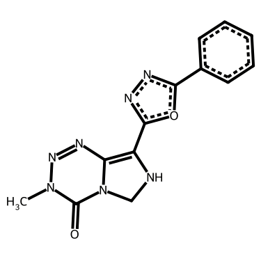 CN1N=NC2=C(c3nnc(-c4ccccc4)o3)NCN2C1=O